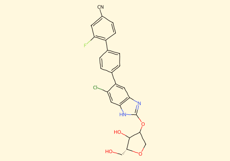 N#Cc1ccc(-c2ccc(-c3cc4nc(OC5CO[C@H](CO)C5O)[nH]c4cc3Cl)cc2)c(F)c1